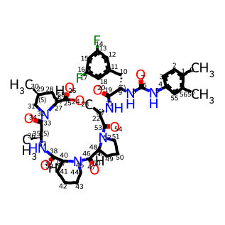 Cc1ccc(NC(=O)N[C@@H](Cc2cc(F)cc(F)c2)C(=O)N[C@H]2COC(=O)[C@@H]3C[C@H](C)CN3C(=O)[C@H](C)NC(=O)[C@@H]3CCCCN3C(=O)[C@@H]3CCCN3C2=O)cc1C